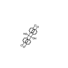 OC(c1ccc(Cl)cc1)(c1ccc(Cl)cc1)C(O)(c1ccc(Cl)cc1)c1ccc(Cl)cc1